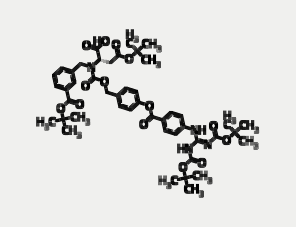 CC(C)(C)OC(=O)C[C@@H](C(=O)O)N(Cc1cccc(C(=O)OC(C)(C)C)c1)C(=O)OCc1ccc(OC(=O)c2ccc(N/C(=N\C(=O)OC(C)(C)C)NC(=O)OC(C)(C)C)cc2)cc1